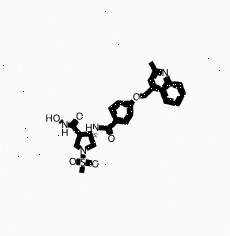 Cc1cc(COc2ccc(C(=O)N[C@@H]3CN(S(C)(=O)=O)CC3C(=O)NO)cc2)c2ccccc2n1